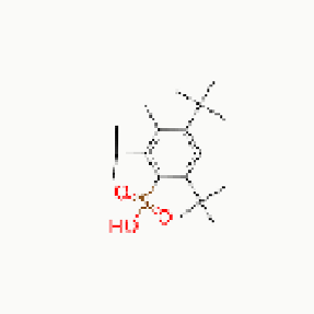 Cc1c(C(C)(C)C)cc(C(C)(C)C)c(S(=O)(=O)O)c1C(C)(C)C